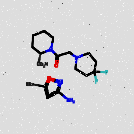 CC(C)(C)c1cc(N)no1.O=C(O)[C@@H]1CCCCN1C(=O)CN1CCC(F)(F)CC1